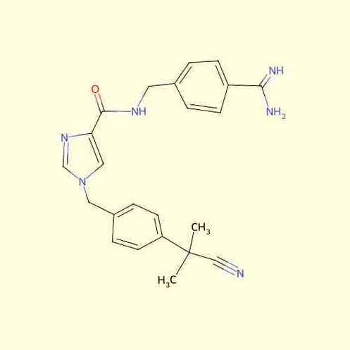 CC(C)(C#N)c1ccc(Cn2cnc(C(=O)NCc3ccc(C(=N)N)cc3)c2)cc1